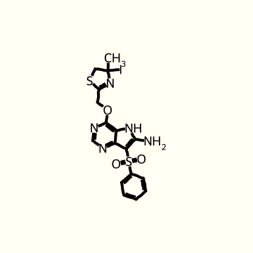 CC1(I)CSC(COc2ncnc3c(S(=O)(=O)c4ccccc4)c(N)[nH]c23)=N1